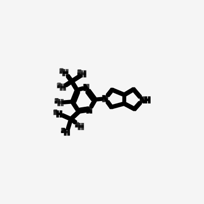 [2H]c1c(C([2H])([2H])[2H])nc(N2CC3CNCC3C2)nc1C([2H])([2H])[2H]